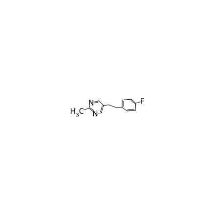 Cc1ncc(CCc2ccc(F)cc2)cn1